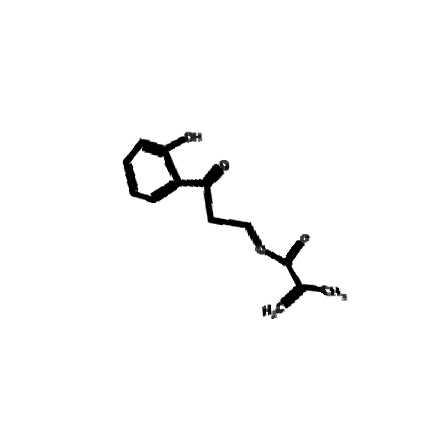 C=C(C)C(=O)OCCC(=O)c1ccccc1O